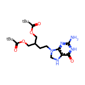 CC(C)(C)C(=O)OCC(CCN1CNc2c1nc(N)[nH]c2=O)COC(=O)C(C)(C)C